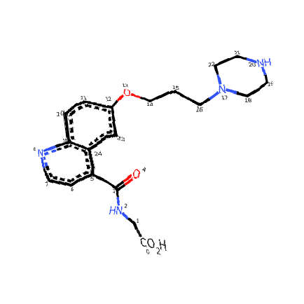 O=C(O)CNC(=O)c1ccnc2ccc(OCCCN3CCNCC3)cc12